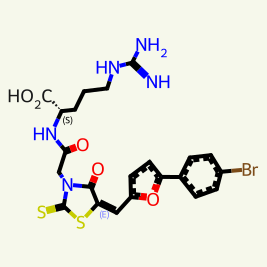 N=C(N)NCCC[C@H](NC(=O)CN1C(=O)/C(=C\c2ccc(-c3ccc(Br)cc3)o2)SC1=S)C(=O)O